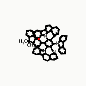 CC1(C)c2ccccc2-c2cc(-c3c(-n4c5c(c6ccccc64)CCc4ccccc4-5)c(C#N)c(-n4c5ccccc5c5ccccc54)c(C#N)c3-n3c4ccccc4c4ccc5ccccc5c43)ccc21